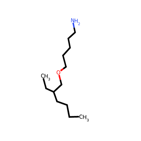 CCCCC(CC)COCCCCCN